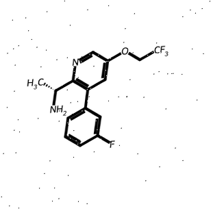 C[C@@H](N)c1ncc(OCC(F)(F)F)cc1-c1cccc(F)c1